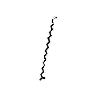 CC(C)CCCCCCCCCCCCCCCCC=CCO